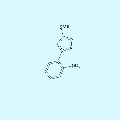 CSc1cc(-c2ccccc2[N+](=O)[O-])sn1